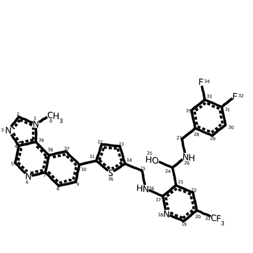 Cn1cnc2cnc3ccc(-c4ccc(CNc5ncc(C(F)(F)F)cc5C(O)NCc5ccc(F)c(F)c5)s4)cc3c21